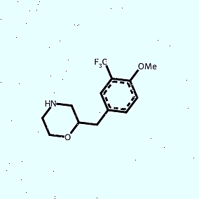 COc1ccc(CC2CNCCO2)cc1C(F)(F)F